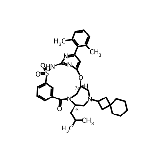 Cc1cccc(C)c1-c1cc2nc(n1)NS(=O)(=O)c1cccc(c1)C(=O)N1C[C@@H](CN(C3CC4(CCCCC4)C3)C[C@H]1CC(C)C)O2